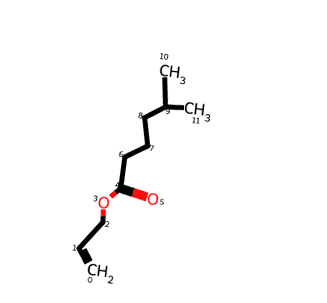 C=CCOC(=O)CCCC(C)C